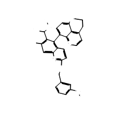 CC(=O)C(OC(C)(C)C)c1c(C)cc2nc(OCc3cccc(OC(F)(F)F)c3)ccc2c1-c1ccc2c3c(ccnc13)CCO2